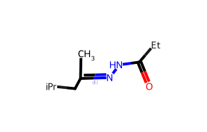 CCC(=O)N/N=C(\C)CC(C)C